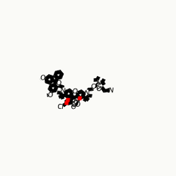 COc1ccc(C(OCCN2c3cc4c(cc3C(C)(C)C2C)C2(c3cc5c(cc3O4)N(CCOP(OCCC#N)N(C(C)C)C(C)C)C(C)C5(C)C)c3ccc(Cl)cc3S(=O)(=O)N2C)(c2ccccc2)c2ccc(OC)cc2)cc1